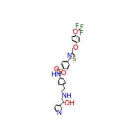 O=S(=O)(Nc1ccc(CCNCC(O)c2cccnc2)cc1)c1ccc(-c2nc(COc3ccc(OC(F)(F)F)cc3)cs2)cc1